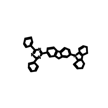 C1=Cc2c(c3c(n2-c2ccc4c(c2)Cc2cc(-c5nc(-c6ccccc6)nc(-c6ccccc6)n5)ccc2-4)C=CCC3)CC1